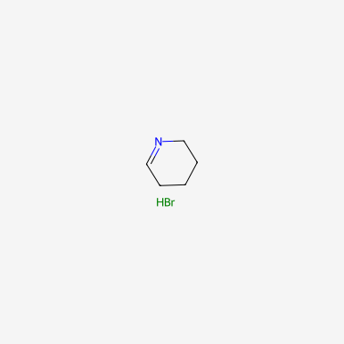 Br.C1=NCCCC1